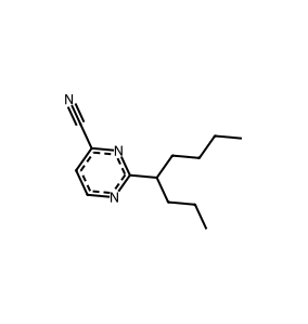 CCCCC(CCC)c1nccc(C#N)n1